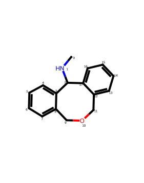 CNC1c2ccccc2COCc2ccccc21